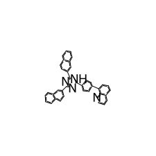 c1ccc2cc(C3=NC(c4ccc(-c5cccc6cccnc56)cc4)NC(c4ccc5ccccc5c4)=N3)ccc2c1